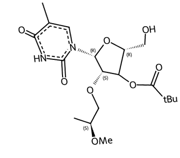 CO[C@@H](C)CO[C@H]1C(OC(=O)C(C)(C)C)[C@@H](CO)O[C@H]1n1cc(C)c(=O)[nH]c1=O